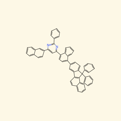 c1ccc(-c2nc(-c3ccc4ccccc4c3)cc(-c3ccc(-c4ccc5c(c4)-c4ccc6ccccc6c4C5(c4ccccc4)c4ccccc4)c4ccccc34)n2)cc1